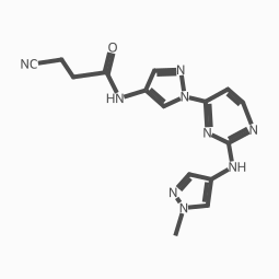 Cn1cc(Nc2nccc(-n3cc(NC(=O)CCC#N)cn3)n2)cn1